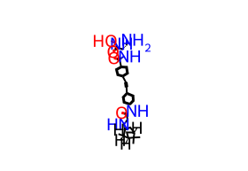 C[C@@H]1[C@@H](NCC(=O)Nc2ccc(C#Cc3ccc(C(=O)N[C@@H](CN)C(=O)NO)cc3)cc2)C[C@H]2C[C@@H]1C2(C)C